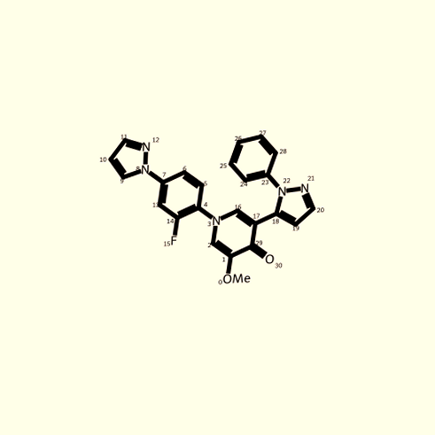 COc1cn(-c2ccc(-n3cccn3)cc2F)cc(-c2ccnn2-c2ccccc2)c1=O